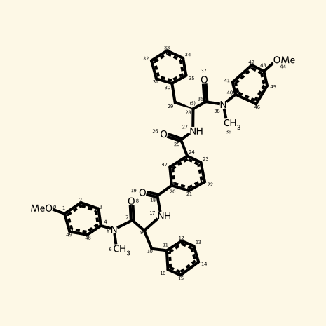 COc1ccc(N(C)C(=O)C(Cc2ccccc2)NC(=O)c2cccc(C(=O)N[C@@H](Cc3ccccc3)C(=O)N(C)c3ccc(OC)cc3)c2)cc1